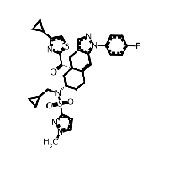 Cn1ccc(S(=O)(=O)N(CC2CC2)[C@H]2CCC3=Cc4c(cnn4-c4ccc(F)cc4)C[C@]3(C(=O)c3nc(C4CC4)cs3)C2)n1